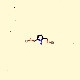 CCOCc1ccc(COCC)[nH]1